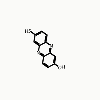 Oc1ccc2nc3cc(S)ccc3nc2c1